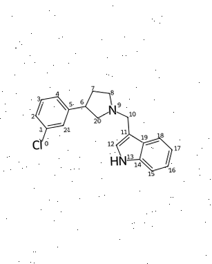 Clc1cccc(C2CCN(Cc3c[nH]c4ccccc34)C2)c1